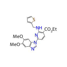 CCOC(=O)c1ccc(-n2cnc3cc(OC)c(OC)cc32)nc1NCc1cccs1